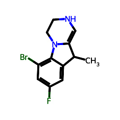 CC1C2=CNCCN2c2c(Br)cc(F)cc21